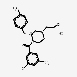 Cl.O=C(c1cc(Cl)cc(C(F)(F)F)c1)N1CCN(CCCl)C[C@H]1Cc1ccc(C(F)(F)F)cc1